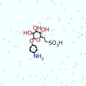 Nc1ccc(O[C@H]2O[C@H](CCS(=O)(=O)O)[C@@H](O)[C@H](O)[C@@H]2O)cc1